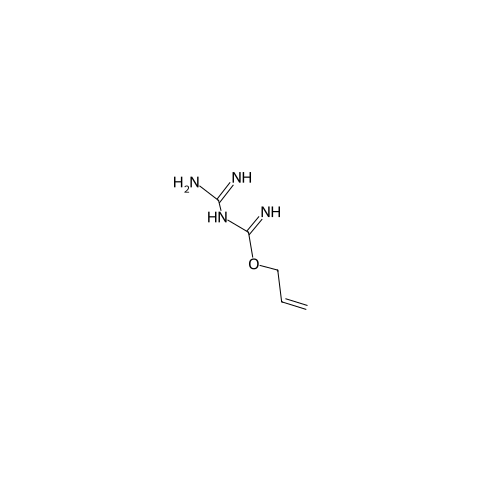 C=CCOC(=N)NC(=N)N